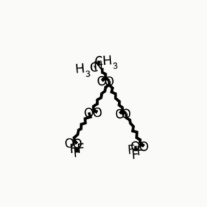 CN(C)CCCC(=O)OC(CCCCCCCC(=O)OCCCCCCCCC(=O)OC(F)(F)F)CCCCCCCC(=O)OCCCCCCCCC(=O)OC(F)(F)F